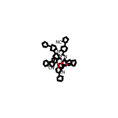 N#Cc1cccc(-c2ccccc2-c2nc(-c3ccc(-c4ccccc4C#N)cc3-n3c4ccc(-c5ccccc5)cc4c4cc(-c5ccccc5)ccc43)nc(-c3ccc(-c4ccccc4C#N)cc3-n3c4ccc(-c5ccccc5)cc4c4cc(-c5ccccc5)ccc43)n2)c1